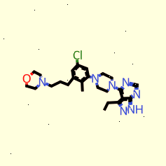 CCc1n[nH]c2ncnc(N3CCN(c4cc(Cl)cc(CCCN5CCOCC5)c4C)CC3)c12